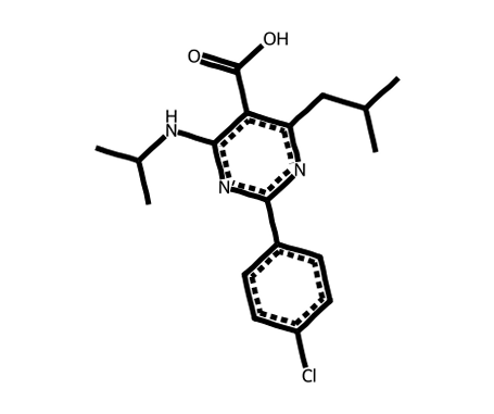 CC(C)Cc1nc(-c2ccc(Cl)cc2)nc(NC(C)C)c1C(=O)O